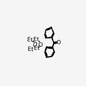 CCOCC.CCOCC.O=C(c1ccccc1)c1ccccc1